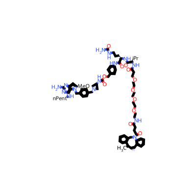 CCCCCNc1nc(N)nc2ccn(Cc3ccc(CN4CC(NC(=O)OCc5ccc(NC(=O)[C@H](CCCNC(N)=O)NC(=O)[C@@H](NC(=O)CCOCCOCCOCCOCCNC(=O)CCC(=O)N6Cc7ccccc7C(C)/C=C\c7ccccc76)C(C)C)cc5)C4)cc3OC)c12